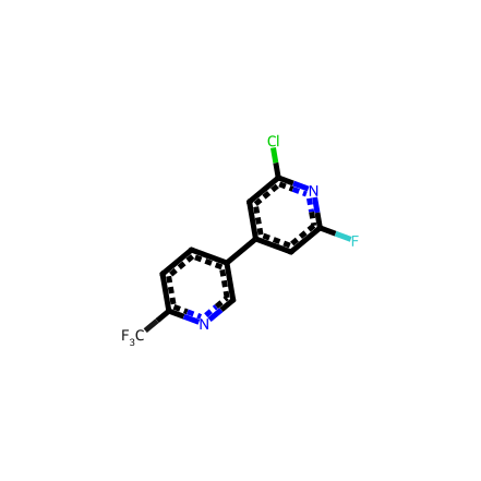 Fc1cc(-c2ccc(C(F)(F)F)nc2)cc(Cl)n1